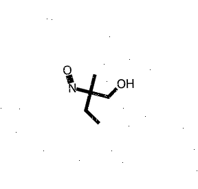 CCC(C)(CO)N=O